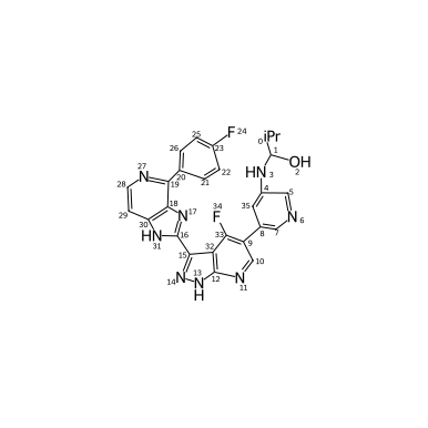 CC(C)C(O)Nc1cncc(-c2cnc3[nH]nc(-c4nc5c(-c6ccc(F)cc6)nccc5[nH]4)c3c2F)c1